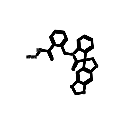 CCCCCNC(=O)c1ccccc1CN1C(=O)C2(COc3cc4c(cc32)OCO4)c2ccccc21